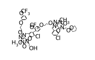 Cn1c(=O)n(CCO)c(=O)c2c1nc(OCCCOc1cccc(OC(F)(F)F)c1)n2Cc1ccc(Cl)c(-c2ccc(OCCCOc3nc4c(c(=O)n(CCOC5CCCCO5)c(=O)n4C)n3Cc3ccc(Cl)cc3)cc2OC(F)(F)F)c1